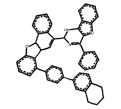 C1=C(C2N=C(c3ccccc3)c3oc4ccccc4c3N2)c2ccccc2C2Oc3cccc(-c4ccc(-c5ccc6c(c5)CCCC6)cc4)c3C12